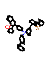 c1ccc(-c2ccc(N(c3ccc(-c4cc5ccccc5c5oc6ccccc6c45)cc3)c3cccc(-c4cccc5c4sc4ccccc45)c3)cc2)cc1